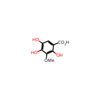 COc1c(O)c(O)cc(C(=O)O)c1O